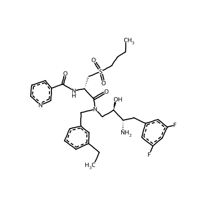 CCCCS(=O)(=O)C[C@@H](NC(=O)c1cccnc1)C(=O)N(Cc1cccc(CC)c1)C[C@@H](O)[C@@H](N)Cc1cc(F)cc(F)c1